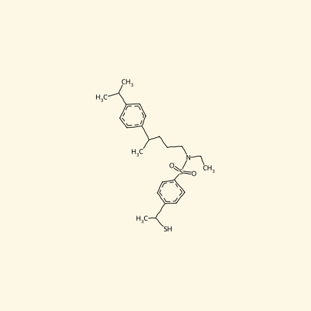 CCN(CCCC(C)c1ccc(C(C)C)cc1)S(=O)(=O)c1ccc(C(C)S)cc1